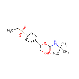 CCS(=O)(=O)c1ccc(C(CO)OC(=O)NC(C)(C)C)cc1